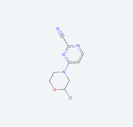 N#Cc1nccc(N2CCOC(Cl)C2)n1